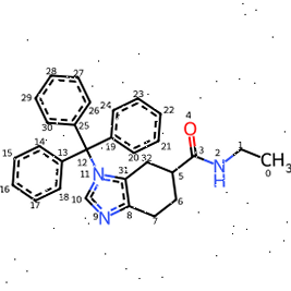 CCNC(=O)C1CCc2ncn(C(c3ccccc3)(c3ccccc3)c3ccccc3)c2C1